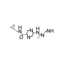 C/C(=N/C=N)Nc1cnc(C(=O)NCC2CC2)cn1